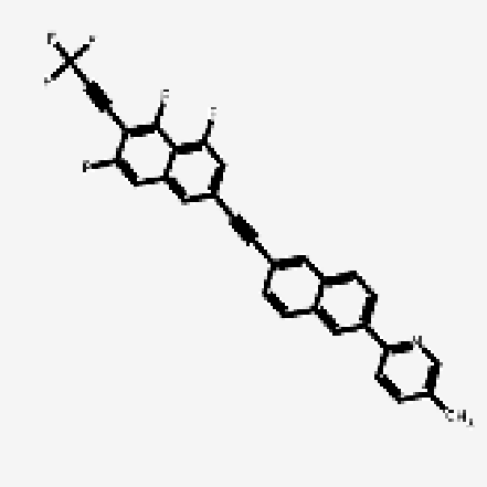 Cc1ccc(-c2ccc3cc(C#Cc4cc(F)c5c(F)c(C#CC(F)(F)F)c(F)cc5c4)ccc3c2)nc1